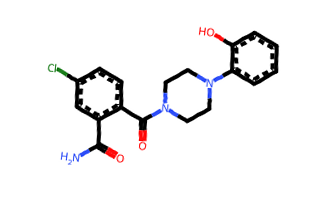 NC(=O)c1cc(Cl)ccc1C(=O)N1CCN(c2ccccc2O)CC1